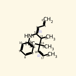 C=C/C=C(/Nc1ccccc1)C(C)C(C)(C)/C=C\C